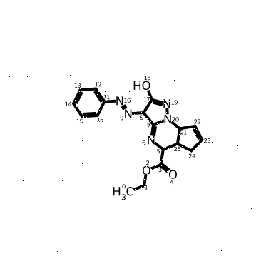 CCOC(=O)C1N=C2C(N=Nc3ccccc3)C(O)=NN2C2C=CCC12